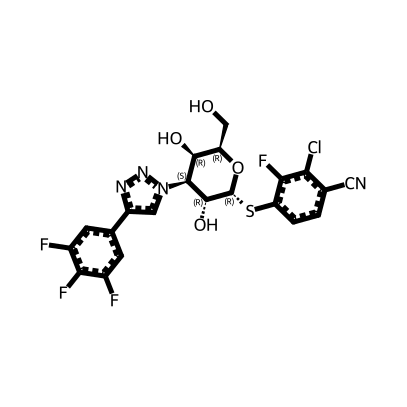 N#Cc1ccc(S[C@H]2O[C@H](CO)[C@H](O)[C@H](n3cc(-c4cc(F)c(F)c(F)c4)nn3)[C@H]2O)c(F)c1Cl